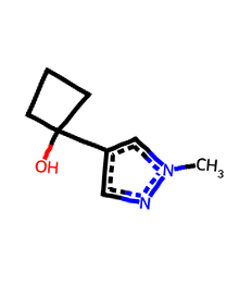 Cn1cc(C2(O)CCC2)cn1